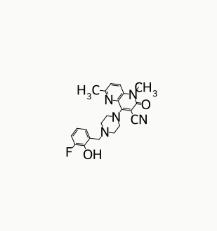 Cc1ccc2c(n1)c(N1CCN(Cc3cccc(F)c3O)CC1)c(C#N)c(=O)n2C